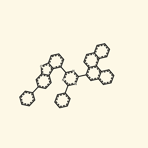 c1ccc(-c2ccc3c(c2)oc2cccc(-c4nc(-c5ccccc5)nc(-c5cc6ccccc6c6c5ccc5ccccc56)n4)c23)cc1